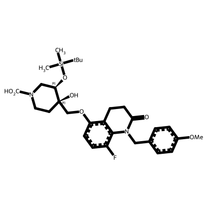 COc1ccc(CN2C(=O)CCc3c(OC[C@]4(O)CCN(C(=O)O)C[C@H]4O[Si](C)(C)C(C)(C)C)ccc(F)c32)cc1